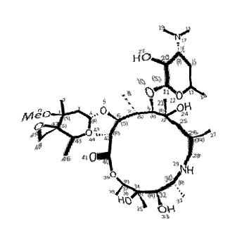 CO[C@@]1(C)C[C@H](O[C@H]2[C@H](C)[C@@H](O[C@@H]3OC(C)C[C@@H](N(C)C)C3O)[C@](C)(O)C[C@@H](C)CN[C@H](C)[C@@H](O)[C@](C)(O)[C@@H](C)OC(=O)[C@@H]2C)OC(C)[C@@]12CO2